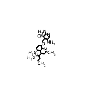 C=C/C=C(/c1cc(C)nc2c(OCc3c(N)cnc(N)c3Cl)cccc12)N(C)C